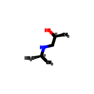 C[C@H](O)CN[C@@H](C)C(=O)O